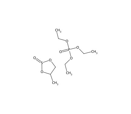 CC1COS(=O)O1.CCOP(=O)(OCC)OCC